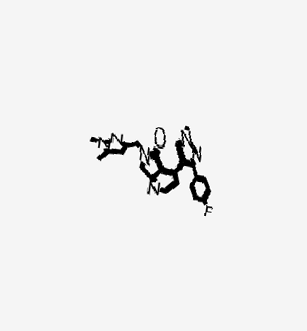 Cc1cc(CN2Cc3nccc(-c4cn(C)nc4-c4ccc(F)cc4)c3C2=O)nn1C